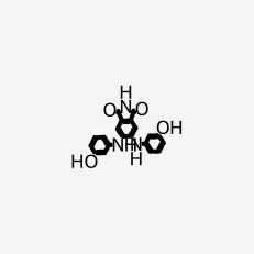 O=C1NC(=O)c2cc(Nc3cccc(O)c3)c(Nc3cccc(O)c3)cc21